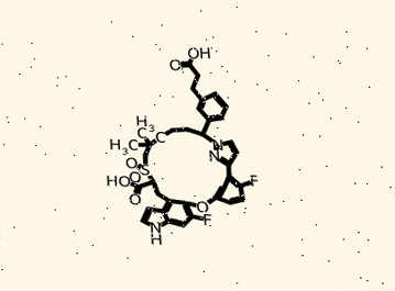 CC1(C)CCCC(c2cccc(CCC(=O)O)c2)n2ccc(n2)-c2cc(ccc2F)Oc2c(F)cc3[nH]ccc3c2CC(C(=O)O)S(=O)(=O)C1